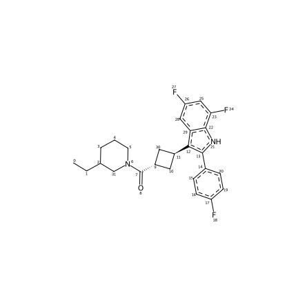 CCC1CCCN(C(=O)[C@H]2C[C@H](c3c(-c4ccc(F)cc4)[nH]c4c(F)cc(F)cc43)C2)C1